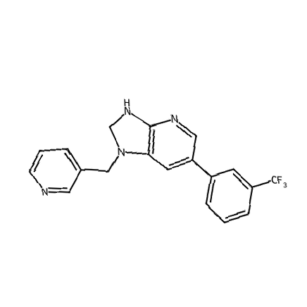 FC(F)(F)c1cccc(-c2cnc3c(c2)N(Cc2cccnc2)CN3)c1